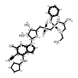 CCOC[C@H](C)NP(=O)(CS(=O)(=O)CC1O[C@@H](n2ccc3c(NC4CCCC4)c(C#N)c(Cl)nc32)[C@H](O)[C@@H]1O)Oc1ccccc1